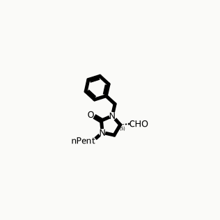 CCCCCN1C[C@@H](C=O)N(Cc2ccccc2)C1=O